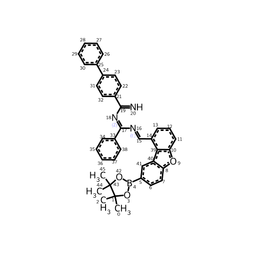 CC1(C)OB(c2ccc3oc4cccc(/C=N/C(=N\C(=N)c5ccc(-c6ccccc6)cc5)c5ccccc5)c4c3c2)OC1(C)C